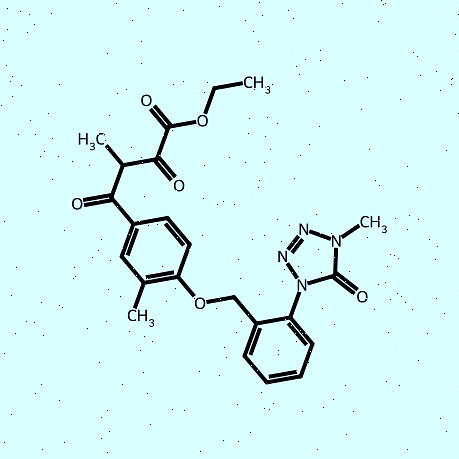 CCOC(=O)C(=O)C(C)C(=O)c1ccc(OCc2ccccc2-n2nnn(C)c2=O)c(C)c1